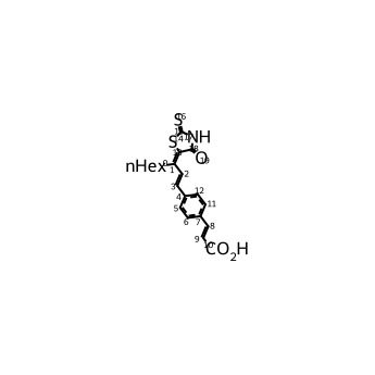 CCCCCCC(/C=C/c1ccc(/C=C/C(=O)O)cc1)=C1\SC(=S)NC1=O